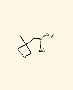 CC1(C[C@@H](N)C(=O)O)COC1